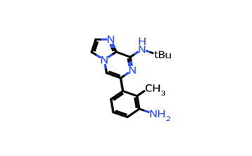 Cc1c(N)cccc1-c1cn2ccnc2c(NC(C)(C)C)n1